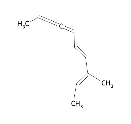 CC=C=CC=CC(C)=CC